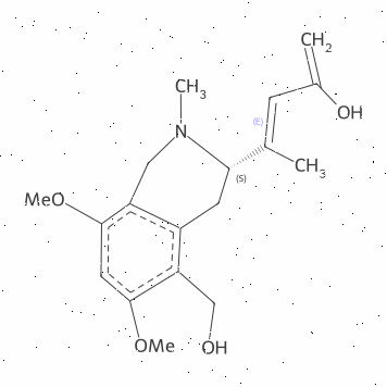 C=C(O)/C=C(\C)[C@@H]1Cc2c(CO)c(OC)cc(OC)c2CN1C